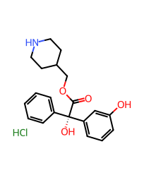 Cl.O=C(OCC1CCNCC1)[C@](O)(c1ccccc1)c1cccc(O)c1